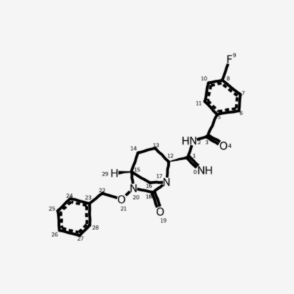 N=C(NC(=O)c1ccc(F)cc1)[C@@H]1CC[C@@H]2CN1C(=O)N2OCc1ccccc1